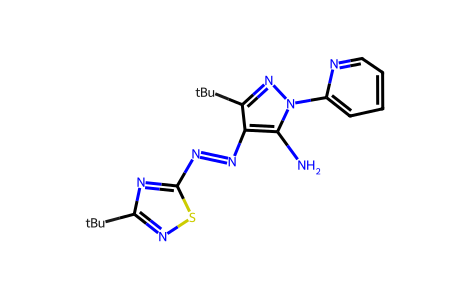 CC(C)(C)c1nsc(N=Nc2c(C(C)(C)C)nn(-c3ccccn3)c2N)n1